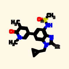 CCc1nc2c(N[S@+](C)[O-])cc(-c3cc(C)c(=O)n(C)c3)cc2n1CC1CC1